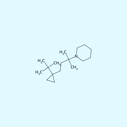 CC(C)(CCC1(C(C)(C)C)CC1)N1CCCCC1